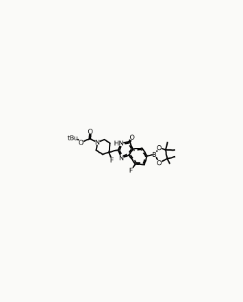 CC(C)(C)OC(=O)N1CCC(F)(c2nc3c(F)cc(B4OC(C)(C)C(C)(C)O4)cc3c(=O)[nH]2)CC1